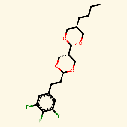 CCCC[C@H]1CO[C@H]([C@H]2CO[C@H](CCc3cc(F)c(F)c(F)c3)OC2)OC1